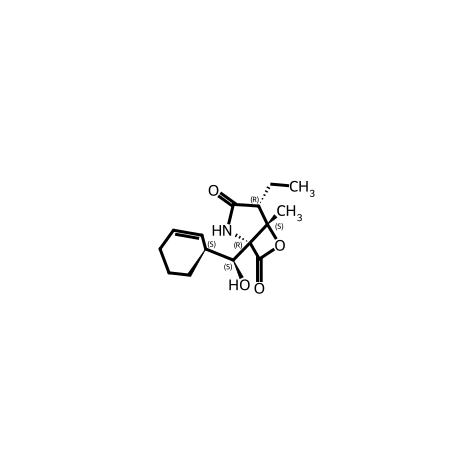 CC[C@H]1C(=O)N[C@@]2([C@@H](O)[C@@H]3C=CCCC3)C(=O)O[C@@]12C